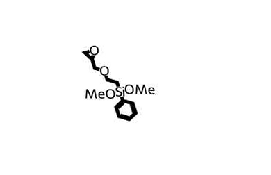 CO[Si](CCOCC1CO1)(OC)c1ccccc1